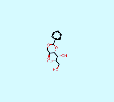 O=C1COC(c2ccccc2)O[C@@H]1[C@@H](O)[C@H](O)CO